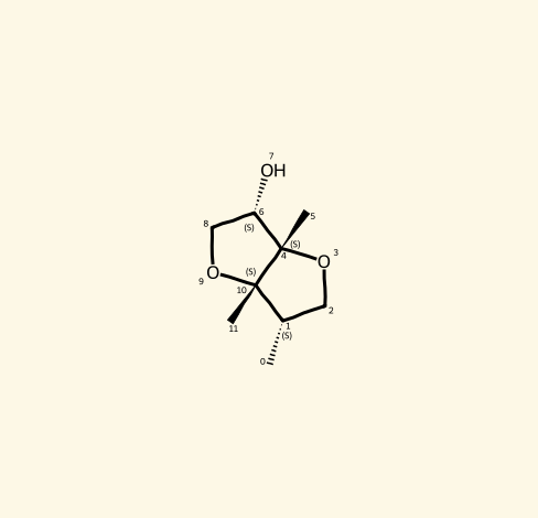 C[C@H]1CO[C@@]2(C)[C@@H](O)CO[C@@]12C